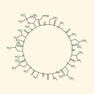 CCC1NC(=O)C(C(O[Si](C)(C)C)C(C)CC=O)N(C)C(=O)C(C(C)C)N(C)C(=O)C(CC(C)C)N(C)C(=O)C(CC(C)C)N(C)C(=O)C(C)NC(=O)C(C)NC(=O)C(CC(C)C)N(C)C(=O)C(C(C)C)NC(=O)C(CC(C)C)N(C)C(=O)CN(C)C1=O